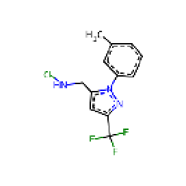 Cc1cccc(-n2nc(C(F)(F)F)cc2CNCl)c1